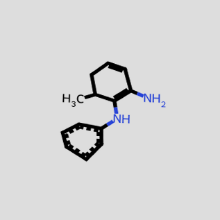 CC1CC=CC(N)=C1Nc1ccccc1